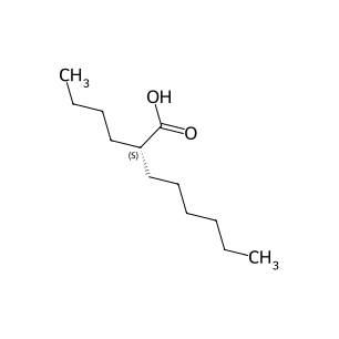 CCCCCC[C@H](CCCC)C(=O)O